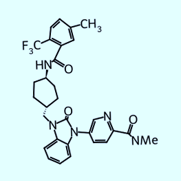 CNC(=O)c1ccc(-n2c(=O)n(C[C@H]3CC[C@H](NC(=O)c4cc(C)ccc4C(F)(F)F)CC3)c3ccccc32)cn1